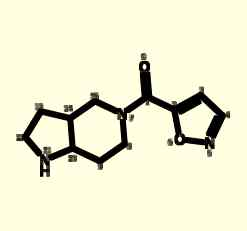 O=C(c1ccno1)N1CCC2NCCC2C1